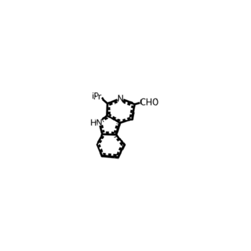 CC(C)c1nc(C=O)cc2c1[nH]c1ccccc12